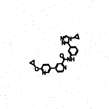 O=C(Nc1cccc(-c2nncn2C2CC2)c1)c1cc(-c2ccc(OC3CC3)nc2)ccn1